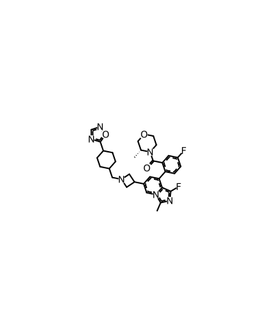 Cc1nc(F)c2c(-c3ccc(F)cc3C(=O)N3CCOC[C@H]3C)cc(C3CN(CC4CCC(c5ncno5)CC4)C3)cn12